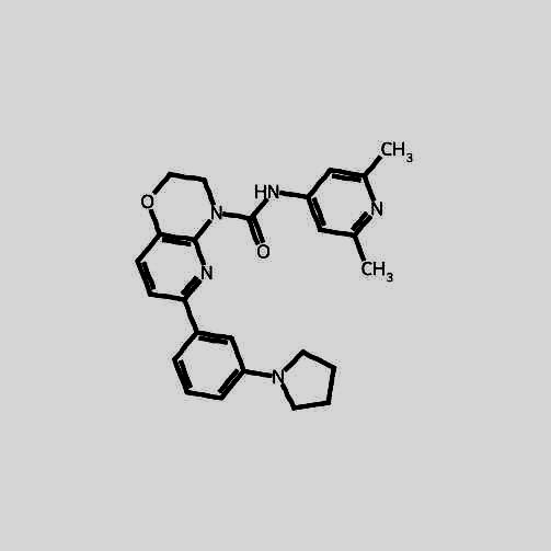 Cc1cc(NC(=O)N2CCOc3ccc(-c4cccc(N5CCCC5)c4)nc32)cc(C)n1